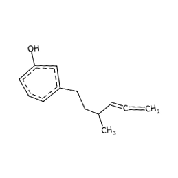 C=C=CC(C)CCc1cccc(O)c1